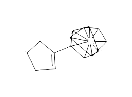 C1=C([C]23[CH]4[CH]5[CH]6[CH]2[Fe]56432789[CH]3[CH]2[CH]7[CH]8[CH]39)CCC1